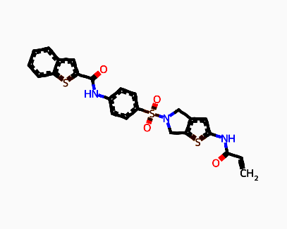 C=CC(=O)Nc1cc2c(s1)CN(S(=O)(=O)c1ccc(NC(=O)c3cc4ccccc4s3)cc1)C2